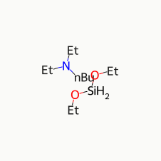 CCCCN(CC)CC.CCO[SiH2]OCC